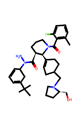 Cc1cccc(F)c1C(=O)N1CCC[C@H](C(=O)N(N)C2C=CC=C(C(C)(C)C)C2)[C@@H]1C1=CCC(CN2CCC[C@H]2CO)CC1